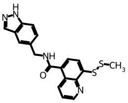 CSSc1ccc(C(=O)NCc2ccc3[nH]ncc3c2)c2cccnc12